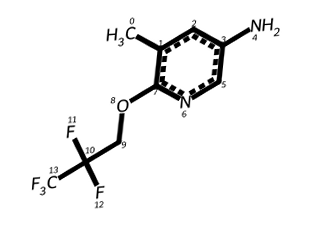 Cc1cc(N)cnc1OCC(F)(F)C(F)(F)F